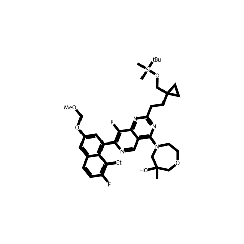 CCc1c(F)ccc2cc(OCOC)cc(-c3ncc4c(N5CCOCC(C)(O)C5)nc(CCC5(CO[Si](C)(C)C(C)(C)C)CC5)nc4c3F)c12